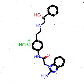 Cl.Cl.Nc1nc2ccccc2n1CC(=O)Nc1ccc(CCNC[C@H](O)c2ccccc2)cc1